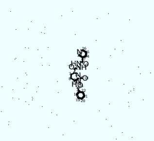 O=C(NNC(=O)[C@@H]1CC[C@@H]2CN1C(=O)N2OCc1ccccc1)c1cccnc1